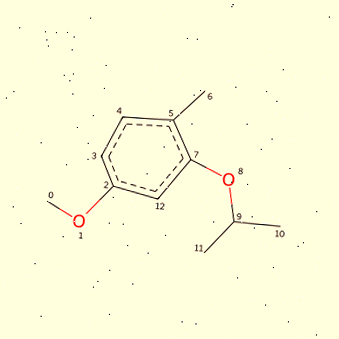 COc1ccc(C)c(OC(C)C)c1